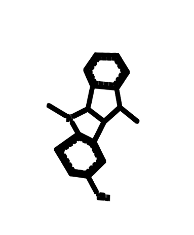 CC1c2ccccc2C2C1c1cc(C(C)(C)C)ccc1N2C